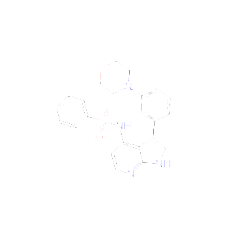 O=S(=O)(Nc1ccnc2[nH]cc(-c3cccc(N4CCOCC4)c3)c12)c1ccccc1